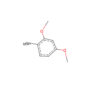 COc1cc[c]([SnH])c(OC)c1